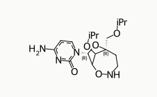 CC(C)OC[C@]12CCNOC(C1OC(C)C)[C@H](n1ccc(N)nc1=O)O2